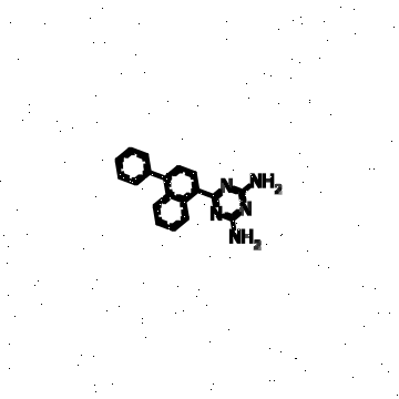 Nc1nc(N)nc(-c2ccc(-c3ccccc3)c3ccccc23)n1